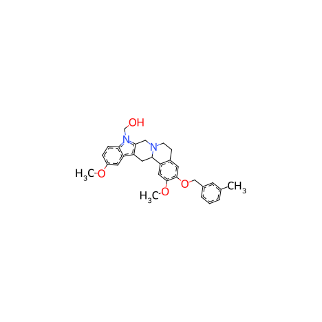 COc1ccc2c(c1)c1c(n2CO)CN2CCc3cc(OCc4cccc(C)c4)c(OC)cc3C2C1